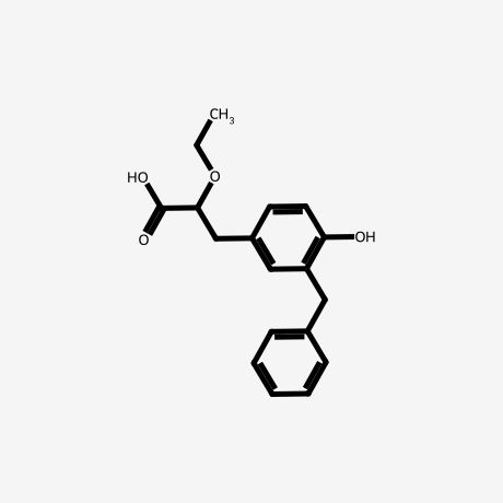 CCOC(Cc1ccc(O)c(Cc2ccccc2)c1)C(=O)O